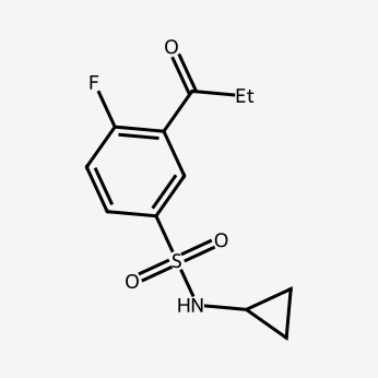 CCC(=O)c1cc(S(=O)(=O)NC2CC2)ccc1F